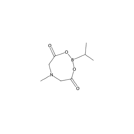 CC(C)B1OC(=O)CN(C)CC(=O)O1